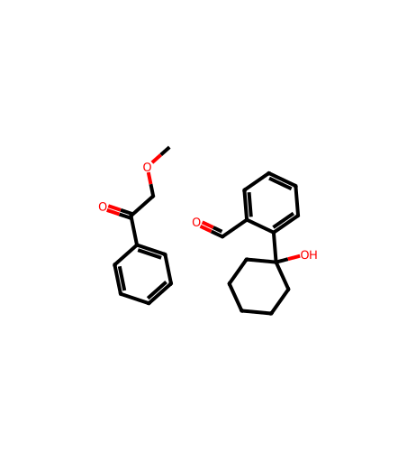 COCC(=O)c1ccccc1.O=Cc1ccccc1C1(O)CCCCC1